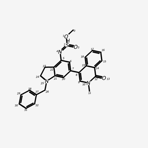 CO[SH](=O)=Nc1cc(-c2cn(C)c(=O)c3ccccc23)cc2c1CCN2Cc1ccccc1